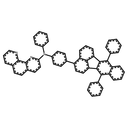 c1ccc(-c2c3c(c(-c4ccccc4)c4ccccc24)-c2ccc(-c4ccc(N(c5ccccc5)c5ccc6ccc7cccnc7c6n5)cc4)c4cccc-3c24)cc1